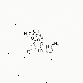 Cc1cccc(NC(=O)C2CC(F)CN2C(=O)OC(C)(C)C)n1